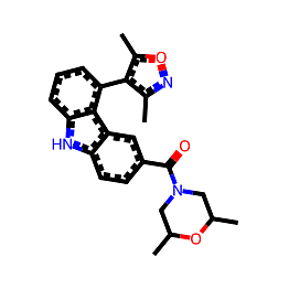 Cc1noc(C)c1-c1cccc2[nH]c3ccc(C(=O)N4CC(C)OC(C)C4)cc3c12